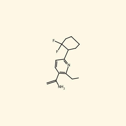 C=C(N)c1ccc(C2CCCCC2(F)F)nc1CC